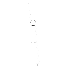 CCCCCCc1ccc(CCCCOC(=O)CCCCCCCBr)cc1